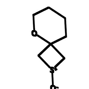 [O-][S+]1CC2(CCCCO2)C1